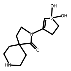 O=C1N(C2=CS(O)(O)CC2)CCC12CCNCC2